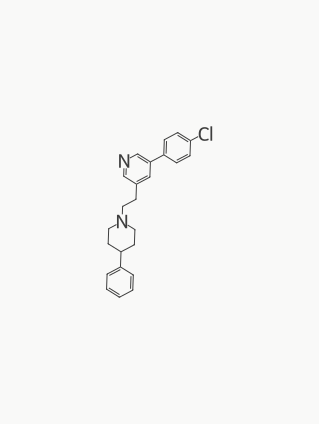 Clc1ccc(-c2cncc(CCN3CCC(c4ccccc4)CC3)c2)cc1